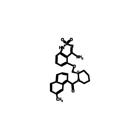 Cc1ccc2cccc(C(=O)N3CCCC[C@@H]3COc3cccc4c3C(N)=NS(=O)(=O)N4)c2c1